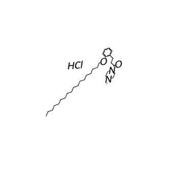 CCCCCCCCCCCCCCCCCCOc1ccccc1CCC(=O)N1CCN(C)CC1.Cl